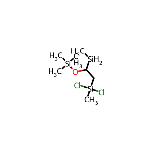 C[SiH2]C(C[Si](C)(Cl)Cl)O[Si](C)(C)C